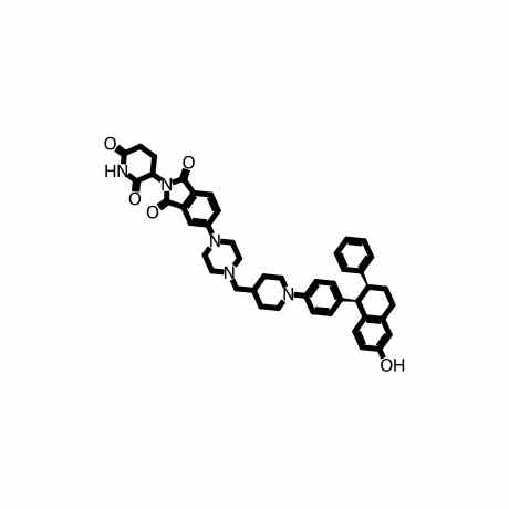 O=C1CCC(N2C(=O)c3ccc(N4CCN(CC5CCN(c6ccc([C@@H]7c8ccc(O)cc8CC[C@@H]7c7ccccc7)cc6)CC5)CC4)cc3C2=O)C(=O)N1